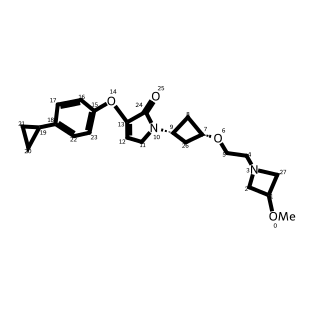 COC1CN(CCO[C@H]2C[C@@H](N3CC=C(Oc4ccc(C5CC5)cc4)C3=O)C2)C1